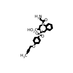 CC#CCOc1ccc(S(=O)(=O)N2Cc3ccccc3N(C(=O)CN)CC2C(=O)O)cc1